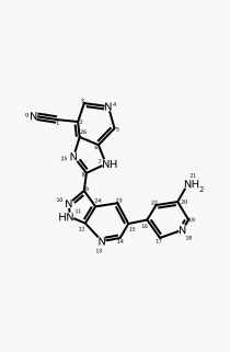 N#Cc1cncc2[nH]c(-c3n[nH]c4ncc(-c5cncc(N)c5)cc34)nc12